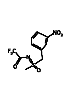 CS(=O)(Cc1cccc([N+](=O)[O-])c1)=NC(=O)C(F)(F)F